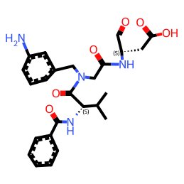 CC(C)[C@H](NC(=O)c1ccccc1)C(=O)N(CC(=O)N[C@H](C=O)CC(=O)O)Cc1cccc(N)c1